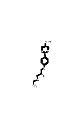 CCCCCCCCc1cnc(-c2ccc(OC[C@H](F)COCC(F)(F)F)cc2)nc1